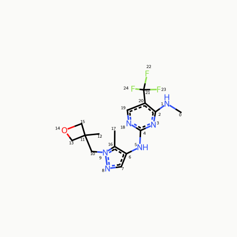 CNc1nc(Nc2cnn(CC3(C)COC3)c2C)ncc1C(F)(F)F